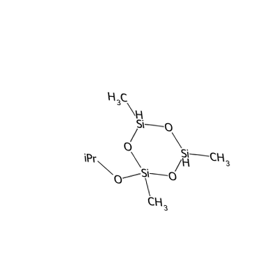 CC(C)O[Si]1(C)O[SiH](C)O[SiH](C)O1